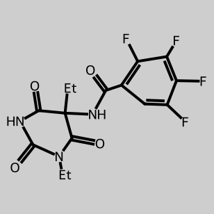 CCN1C(=O)NC(=O)C(CC)(NC(=O)c2cc(F)c(F)c(F)c2F)C1=O